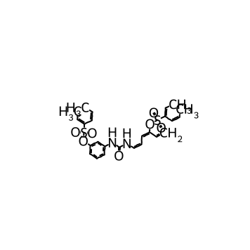 C=C/C(=C\C=C/NC(=O)Nc1cccc(OS(=O)(=O)C(/C=C\C)=C/C)c1)OS(=O)(=O)C(/C=C\C)=C/C